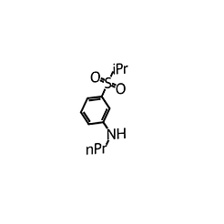 CCCNc1cccc(S(=O)(=O)C(C)C)c1